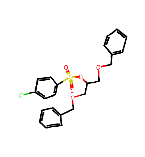 O=S(=O)(OC(COCc1ccccc1)COCc1ccccc1)c1ccc(Cl)cc1